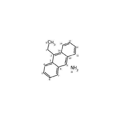 CCc1c2ccccc2cc2ccccc12.N